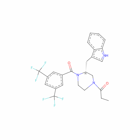 CCC(=O)N1CCN(C(=O)c2cc(C(F)(F)F)cc(C(F)(F)F)c2)[C@H](Cc2c[nH]c3ccccc23)C1